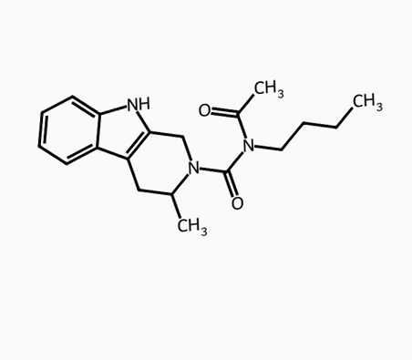 CCCCN(C(C)=O)C(=O)N1Cc2[nH]c3ccccc3c2CC1C